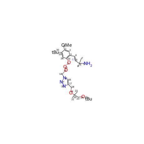 COc1cc(/C=C/C(C)(C)N)c(OOOCn2cc(COC(C)(C)COC(C)(C)C)nn2)cc1C(C)(C)C